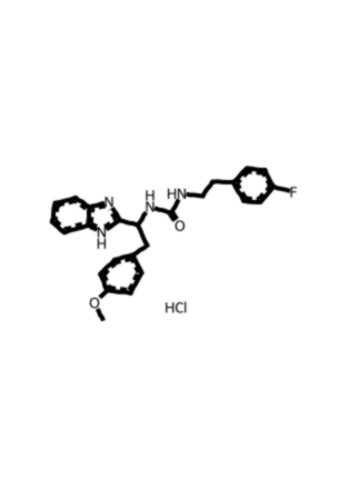 COc1ccc(CC(NC(=O)NCCc2ccc(F)cc2)c2nc3ccccc3[nH]2)cc1.Cl